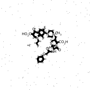 C[N+]1(CC2=C(C(=O)O)N3C(=O)[C@H](NC(=O)COc4ccccc4)[C@@H]3SC2)CCN(c2c(F)cc3c(=O)c(C(=O)O)cn(CCF)c3c2F)CC1.[I-]